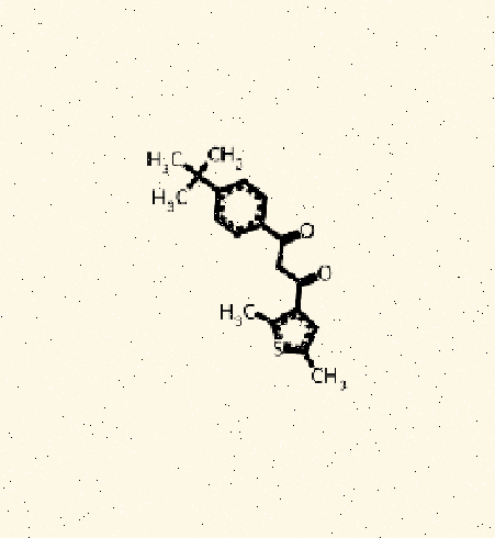 Cc1cc(C(=O)CC(=O)c2ccc(C(C)(C)C)cc2)c(C)s1